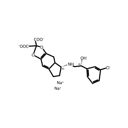 O=C([O-])C1(C(=O)[O-])OC2=C(CC3C(=C2)CC[C@H]3NC[C@H](O)c2cccc(Cl)c2)O1.[Na+].[Na+]